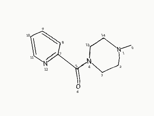 CN1CCN(C(=O)c2[c]cccn2)CC1